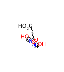 CN1C(OC(=O)C(CCCCCCCC(=O)O)C2CC(O)C(C)(C)C(C)(C)N2C)CC(O)C(C)(C)C1(C)C